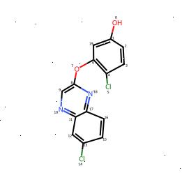 Oc1ccc(Cl)c(Oc2cnc3cc(Cl)ccc3n2)c1